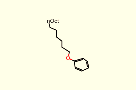 CCCCCCCCCCCC[CH]COc1ccccc1